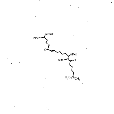 CCCCCCCCCCC(CCCCC=CC(=O)OCCC(CCCCC)CCCCC)N(CCCCCCCCCC)C(=O)CCCCN(C)C